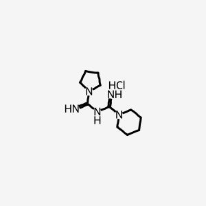 Cl.N=C(NC(=N)N1CCCC1)N1CCCCC1